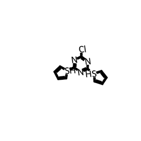 Clc1nc([SH]2C=CC=C2)nc([SH]2C=CC=C2)n1